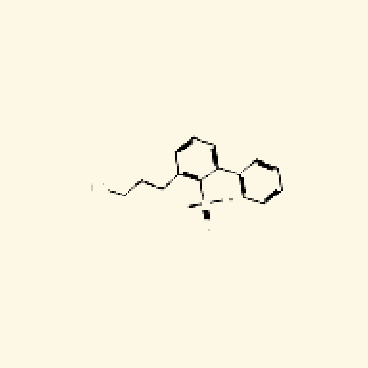 CCCCc1cccc(-c2ccccc2)c1P(=O)(O)O